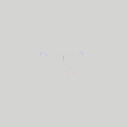 NCCC(CCN)CCO